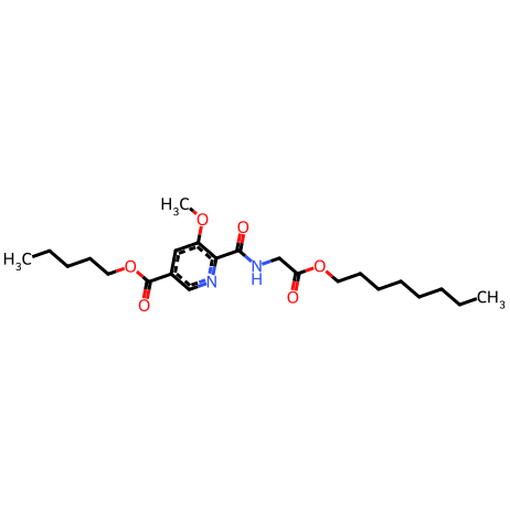 CCCCCCCCOC(=O)CNC(=O)c1ncc(C(=O)OCCCCC)cc1OC